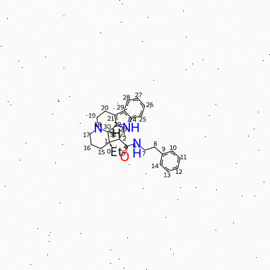 CC[C@@]1(C(C)C(=O)NCCc2ccccc2)CCCN2CCc3c([nH]c4ccccc34)[C@@H]21